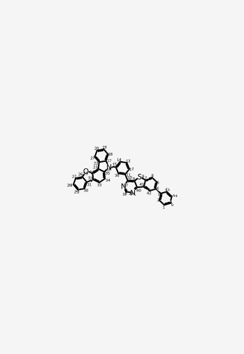 c1ccc(-c2ccc3sc4c(-c5cccc(-n6c7ccccc7c7c8oc9ccccc9c8ccc76)c5)ncnc4c3c2)cc1